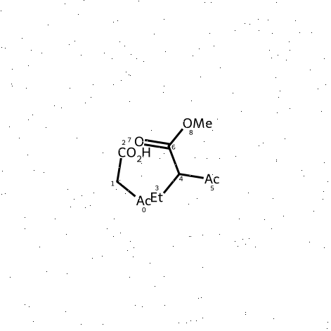 CC(=O)CC(=O)O.CCC(C(C)=O)C(=O)OC